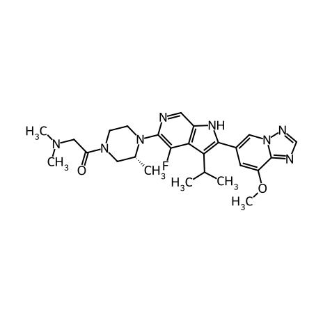 COc1cc(-c2[nH]c3cnc(N4CCN(C(=O)CN(C)C)C[C@H]4C)c(F)c3c2C(C)C)cn2ncnc12